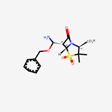 CC1(C)[C@H](C(=O)O)N2C(=O)[C@@H](C(N)OCc3ccccc3)[C@H]2S1(=O)=O